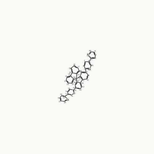 c1ccc(-c2ccc(-c3ccc4c(c3)C3(c5ccccc5-c5ccccc53)c3cc(-c5ccc(-c6ccccn6)cn5)ccc3-4)nc2)nc1